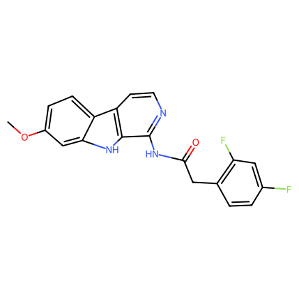 COc1ccc2c(c1)[nH]c1c(NC(=O)Cc3ccc(F)cc3F)nccc12